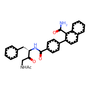 CC(=O)NCC(=O)[C@H](Cc1ccccc1)NC(=O)c1ccc(-c2ccc3ccccc3c2C(N)=O)cc1